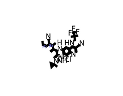 C=C(/C(C)=C(C#N)\C=C/C)[C@H](Nc1cc(Cl)c2ncc(C#N)c(NCC(C)(C)C(F)(F)F)c2c1)C1=CN(C2(C)CC2)NN1